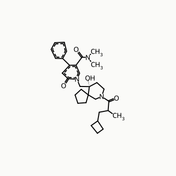 CC(CC1CCC1)C(=O)N1CC[C@](O)(Cn2cc(C(=O)N(C)C)c(-c3ccccc3)cc2=O)C2(CCCC2)C1